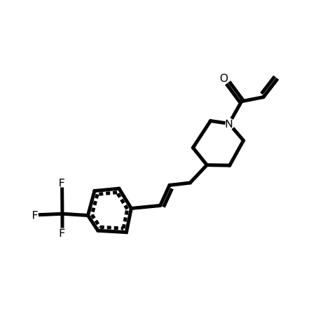 C=CC(=O)N1CCC(C/C=C/c2ccc(C(F)(F)F)cc2)CC1